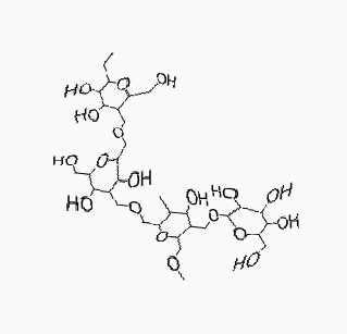 CCC1OC(CO)C(COCC2OC(CO)C(O)C(COCC3OC(COC)C(COC4OC(CO)C(O)C(O)C4O)C(O)C3C)C2O)C(O)C1O